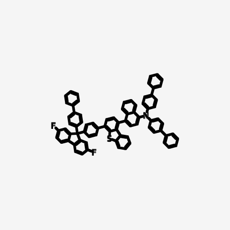 Fc1ccc2c(c1)C(c1ccc(-c3ccccc3)cc1)(c1ccc(-c3ccc(-c4ccc(N(c5ccc(-c6ccccc6)cc5)c5ccc(-c6ccccc6)cc5)c5ccccc45)c4c3sc3ccccc34)cc1)c1cc(F)ccc1-2